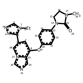 CCn1cnnc1-c1cc(Oc2ccc(N3CCN(C)C3=O)cc2)c2cncn2c1